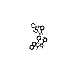 NC1(c2cn([C@@H](c3ccc(Oc4ccc5ccccc5c4C(=O)n4cc(-c5cccnc5)nn4)cc3)[C@H](O)c3ccccc3)nn2)CCCCC1